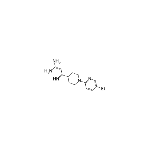 CCc1ccc(N2CCC(C(=N)C=C(N)N)CC2)nc1